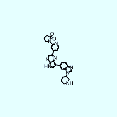 O=S1(=O)CCCN1c1cc(-c2cnc3[nH]cc(-c4ccc5ncn(C6CCCNC6)c5c4)c3n2)ccn1